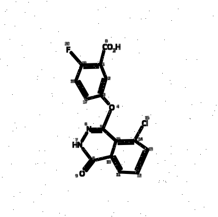 O=C(O)c1cc(Oc2n[nH]c(=O)c3cccc(Cl)c23)ccc1F